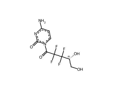 Nc1ccn(C(=O)C(F)(F)C(F)(F)[C@H](O)CO)c(=O)n1